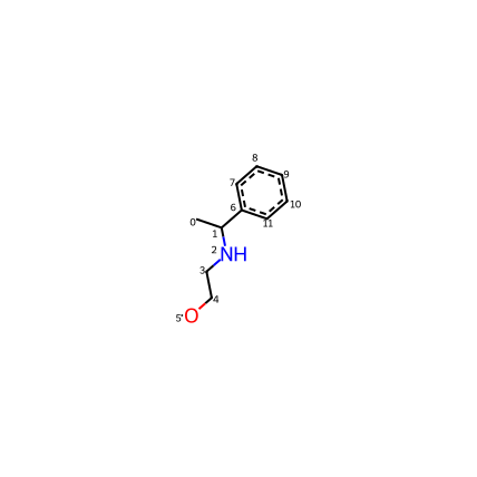 CC(NCC[O])c1ccccc1